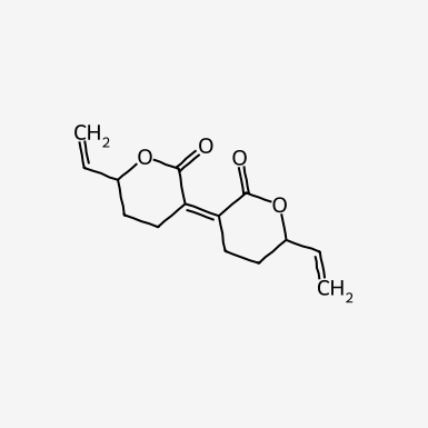 C=CC1CC/C(=C2\CCC(C=C)OC2=O)C(=O)O1